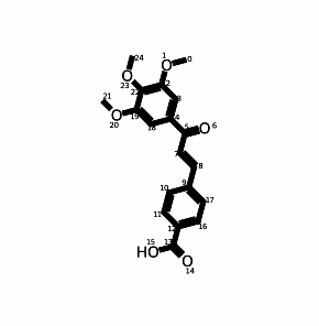 COc1cc(C(=O)/C=C/c2ccc(C(=O)O)cc2)cc(OC)c1OC